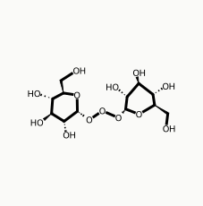 OC[C@H]1O[C@H](OOO[C@H]2O[C@H](CO)[C@@H](O)[C@H](O)[C@H]2O)[C@H](O)[C@@H](O)[C@@H]1O